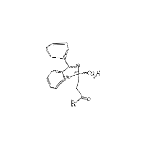 CCC(=O)CC[C@](N=C(c1ccccc1)c1ccccc1)(C(=O)O)C(C)(C)C